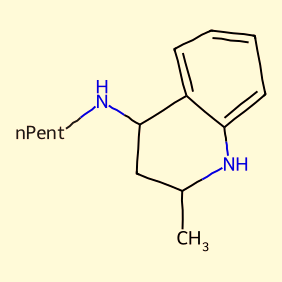 CCCCCNC1CC(C)Nc2ccccc21